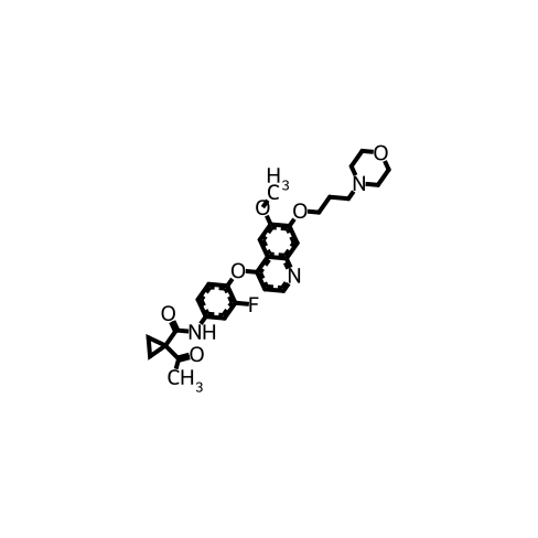 COc1cc2c(Oc3ccc(NC(=O)C4(C(C)=O)CC4)cc3F)ccnc2cc1OCCCN1CCOCC1